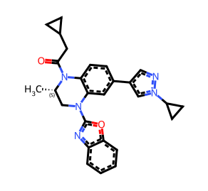 C[C@H]1CN(c2nc3ccccc3o2)c2cc(-c3cnn(C4CC4)c3)ccc2N1C(=O)CC1CC1